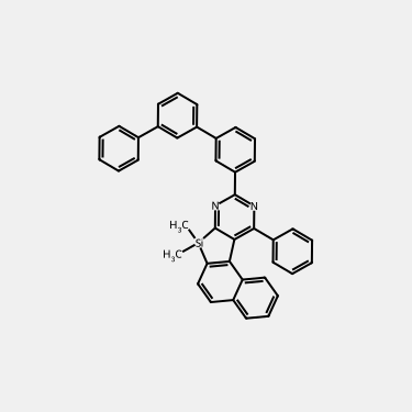 C[Si]1(C)c2ccc3ccccc3c2-c2c(-c3ccccc3)nc(-c3cccc(-c4cccc(-c5ccccc5)c4)c3)nc21